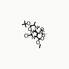 CCOC(=O)c1nc(Cl)nc(N(C)C(C)C(=O)OC(C)(C)C)c1[N+](=O)[O-]